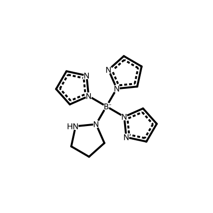 c1cnn([B-](N2CCCN2)(n2cccn2)n2cccn2)c1